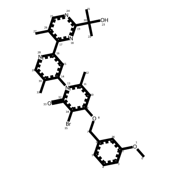 COc1cccc(COc2cc(C)n(-c3cc(-c4nc(C(C)(C)O)ncc4C)ncc3C)c(=O)c2Br)c1